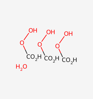 O.O=C(O)OO.O=C(O)OO.O=C(O)OO